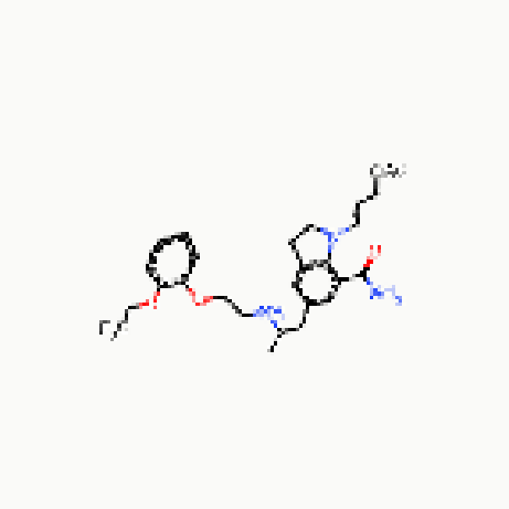 CC(=O)OCCCN1CCc2cc(C[C@@H](C)NCCOc3ccccc3OCC(F)(F)F)cc(C(N)=O)c21